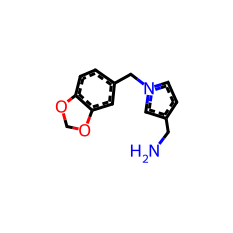 NCc1ccn(Cc2ccc3c(c2)OCO3)c1